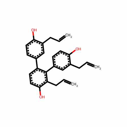 C=CCc1cc(-c2ccc(O)c(CC=C)c2-c2ccc(O)c(CC=C)c2)ccc1O